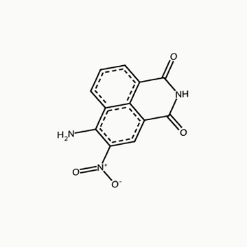 Nc1c([N+](=O)[O-])cc2c3c(cccc13)C(=O)NC2=O